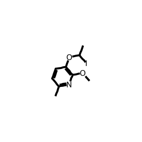 COc1nc(C)ccc1OC(C)I